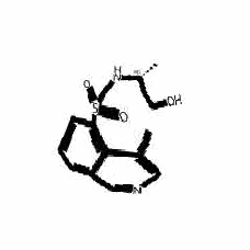 Cc1cncc2cccc(S(=O)(=O)N[C@H](C)CO)c12